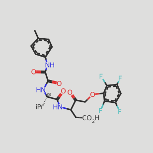 Cc1ccc(NC(=O)C(=O)N[C@H](C(=O)NC(CC(=O)O)C(=O)COc2c(F)c(F)cc(F)c2F)C(C)C)cc1